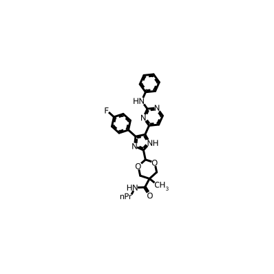 CCCNC(=O)C1(C)COC(c2nc(-c3ccc(F)cc3)c(-c3ccnc(Nc4ccccc4)n3)[nH]2)OC1